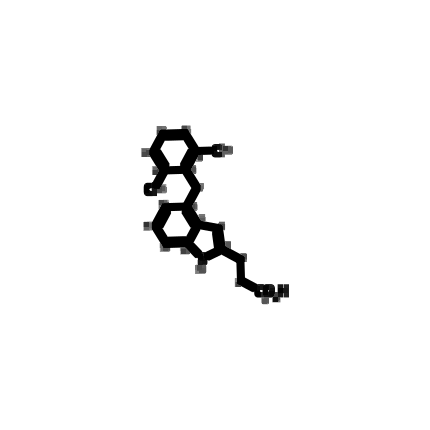 O=C(O)CCc1cc2c(Cc3c(Cl)cccc3Cl)cccc2s1